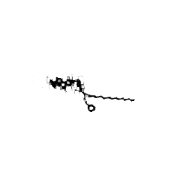 CCCCCCCCCCCCCCO[C@H](COCc1ccccc1)COP(=O)(O)OC1[C@H]2O[C@@](C#N)(c3ccc4c(N)ncnn34)[C@H](O)[C@@]12O